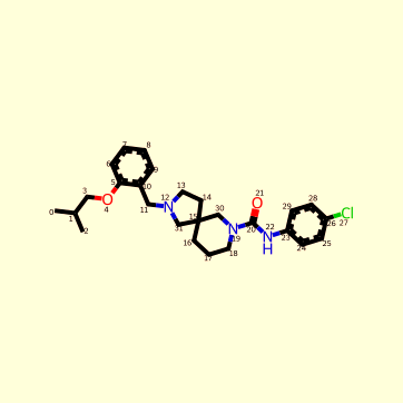 CC(C)COc1ccccc1CN1CCC2(CCCN(C(=O)Nc3ccc(Cl)cc3)C2)C1